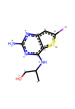 CC(CO)Nc1nc(N)nc2cc(I)sc12